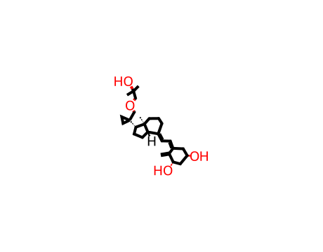 C=C1/C(=C\C=C2/CCC[C@]3(C)[C@@H](C4(COCC(C)(C)O)CC4)CC[C@@H]23)C[C@@H](O)C[C@@H]1O